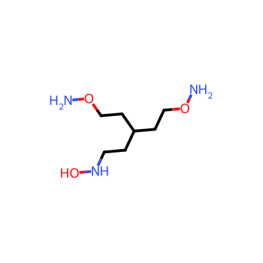 NOCCC(CCNO)CCON